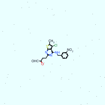 Cc1sc2nc(CCC(=O)C=O)nc(NCc3cccc([N+](=O)[O-])c3)c2c1Cl